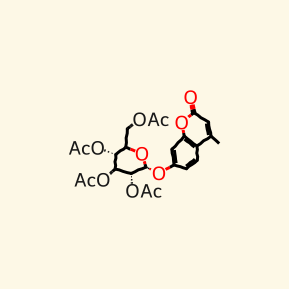 CC(=O)OCC1O[C@H](Oc2ccc3c(C)cc(=O)oc3c2)[C@H](OC(C)=O)C(OC(C)=O)[C@@H]1OC(C)=O